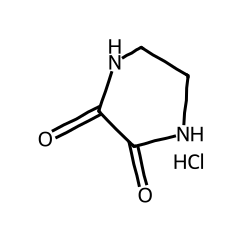 Cl.O=C1NCCNC1=O